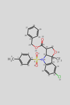 Cc1ccc(S(=O)(=O)N2c3ccc(Cl)cc3C3(C(F)(F)F)OCC(C(=O)OCc4ccccc4)C23)cc1